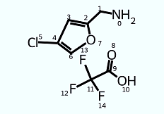 NCc1cc(Cl)co1.O=C(O)C(F)(F)F